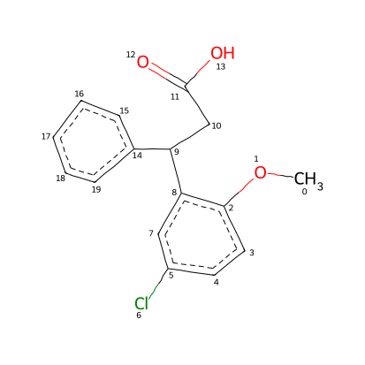 COc1ccc(Cl)cc1C(CC(=O)O)c1ccccc1